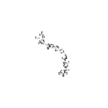 CC(C)(c1n[nH]c(CNC(=O)c2cnn(-c3ncc(-c4ccc(CN5CCN(c6ncc(NC7CCC(=O)NC7=O)cc6F)CC5)cc4)cn3)c2)n1)C(F)(F)F